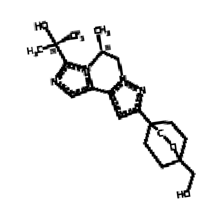 C[C@H]1Cn2nc(C34CCC(CO)(CC3)OC4)cc2-c2cnc([C@](C)(O)C(F)(F)F)n21